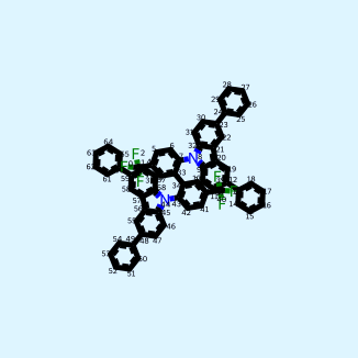 FC(F)(F)c1ccc(-n2c3ccc(-c4ccccc4)cc3c3cc(-c4ccccc4)ccc32)c(-c2cc(C(F)(F)F)ccc2-n2c3ccc(-c4ccccc4)cc3c3cc(-c4ccccc4)ccc32)c1